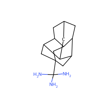 NC(N)(N)C12CC3C4CC5CC3C(C1)C(C5)C4C2